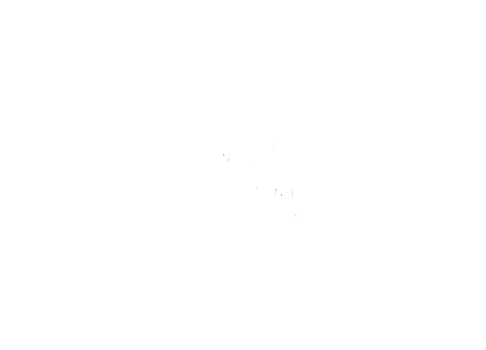 CCCCNC(=O)C(O)N1CCCCC1